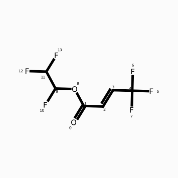 O=C(C=CC(F)(F)F)OC(F)C(F)F